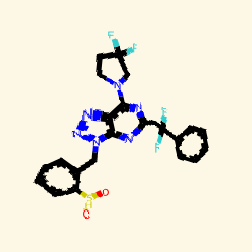 O=[SH](=O)c1ccccc1Cn1nnc2c(N3CCC(F)(F)C3)nc(C(F)(F)c3ccccc3)nc21